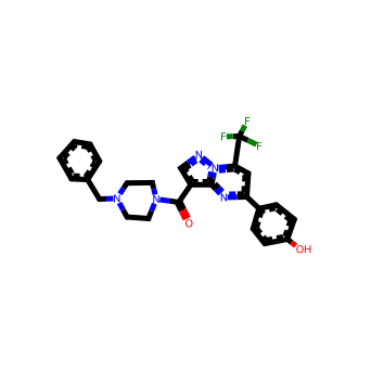 O=C(c1cnn2c(C(F)(F)F)cc(-c3ccc(O)cc3)nc12)N1CCN(Cc2ccccc2)CC1